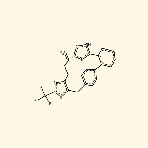 C=CCCn1nc(C(F)(F)CCC)nc1Cc1ccc(-c2ccccc2-c2nnn[nH]2)cc1